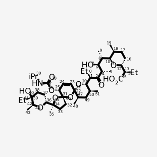 CC[C@@H](C(=O)[C@@H](C)[C@@H](O)[C@H](C)[C@@H]1O[C@@H]([C@@H](CC)C(=O)O)CC[C@@H]1C)[C@H]1O[C@]2(C=C[C@@H](OC(=O)NC(C)C)[C@]3(CC[C@@](C)([C@H]4CC[C@](O)(CC)[C@H](C)O4)O3)O2)[C@H](C)C[C@@H]1C